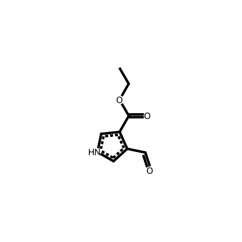 CCOC(=O)c1c[nH]cc1C=O